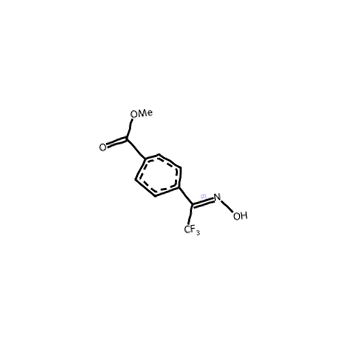 COC(=O)c1ccc(/C(=N/O)C(F)(F)F)cc1